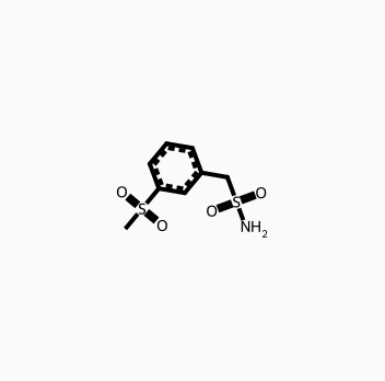 CS(=O)(=O)c1cccc(CS(N)(=O)=O)c1